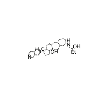 CCC(O)CNC1CCCC2CC3=CCC4(C)C(c5ccc6ccncc6c5)CCC4[C@@]3(O)CCC2C1